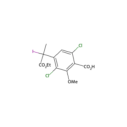 CCOC(=O)C(C)(I)c1cc(Cl)c(C(=O)O)c(OC)c1Cl